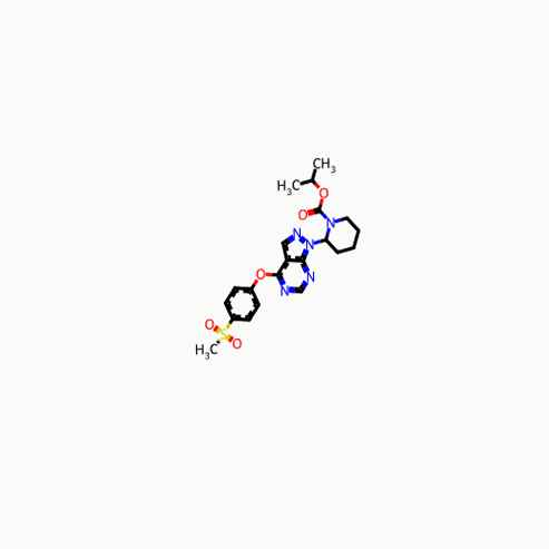 CC(C)OC(=O)N1CCCCC1n1ncc2c(Oc3ccc(S(C)(=O)=O)cc3)ncnc21